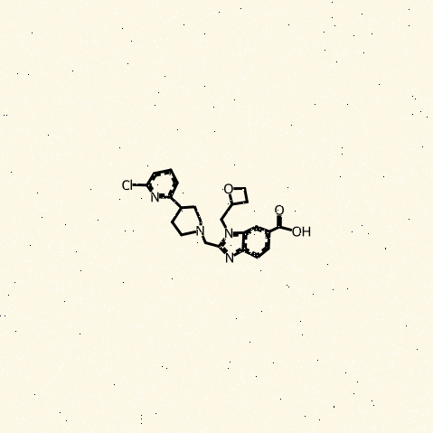 O=C(O)c1ccc2nc(CN3CCC(c4cccc(Cl)n4)CC3)n(CC3CCO3)c2c1